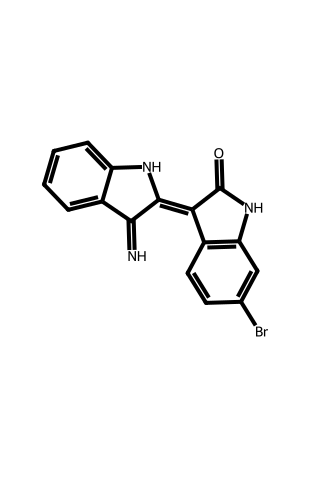 N=C1/C(=C2/C(=O)Nc3cc(Br)ccc32)Nc2ccccc21